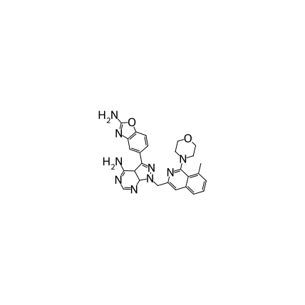 Cc1cccc2cc(CN3N=C(c4ccc5oc(N)nc5c4)C4C(N)=NC=NC43)nc(N3CCOCC3)c12